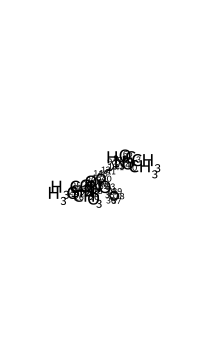 CC(C)(C)OC(=O)N1CCC(/C=C/c2ccc(N3CC(=O)N(CC[Si](C)(C)C)S3(=O)=O)c(OCc3ccccc3)c2)C1